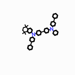 CC1(C)CCC(C)(C)c2cc(N(c3ccc(-c4ccccc4)cc3)c3ccc(-c4ccc(N(c5ccccc5)c5ccc(-c6ccccc6)cc5)cc4)cc3)ccc21